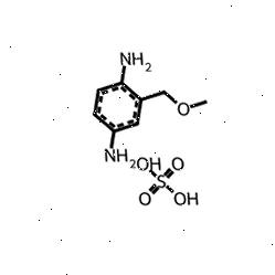 COCc1cc(N)ccc1N.O=S(=O)(O)O